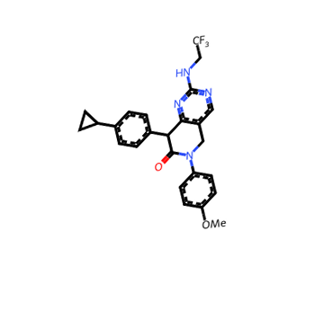 COc1ccc(N2Cc3cnc(NCC(F)(F)F)nc3C(c3ccc(C4CC4)cc3)C2=O)cc1